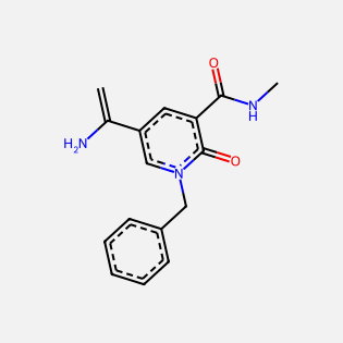 C=C(N)c1cc(C(=O)NC)c(=O)n(Cc2ccccc2)c1